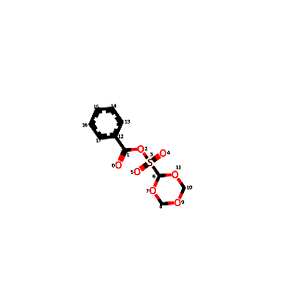 O=C(OS(=O)(=O)C1OCOCO1)c1ccccc1